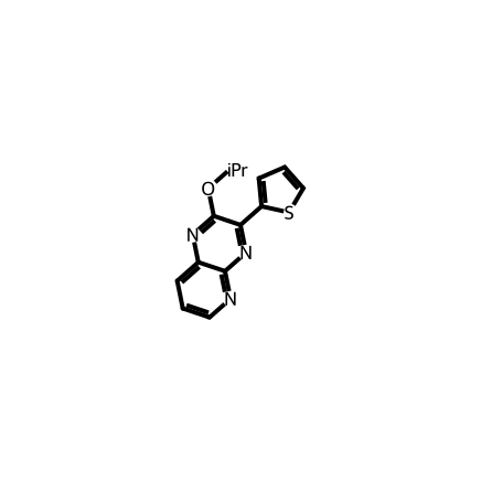 CC(C)Oc1nc2cccnc2nc1-c1cccs1